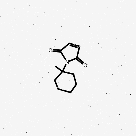 CC1(N2C(=O)C=CC2=O)CCCCC1